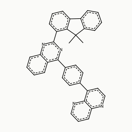 CC1(C)c2ccccc2-c2cccc(-c3nc(-c4ccc(-c5ccnc6cccnc56)cc4)c4ccccc4n3)c21